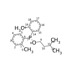 Cc1ccccc1P(OCCC(C)C)c1ccccc1C